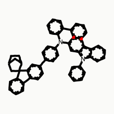 c1ccc(-c2ccccc2N(c2ccc(-c3ccc4c(c3)C3(CC5CCC3C5)c3ccccc3-4)cc2)c2ccc3c4ccccc4n(-c4ccccc4)c3c2)cc1